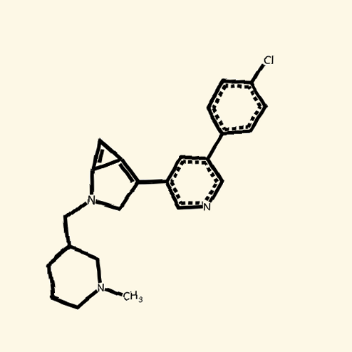 CN1CCCC(CN2CC(c3cncc(-c4ccc(Cl)cc4)c3)=C3C=C32)C1